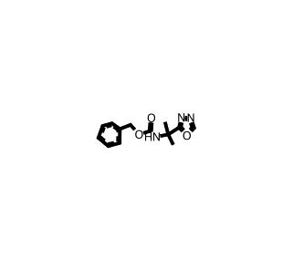 CC(C)(NC(=O)OCc1ccccc1)c1nnco1